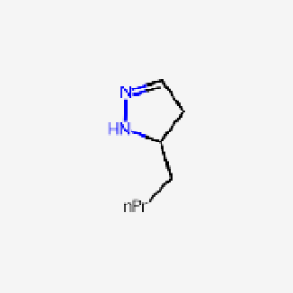 CCCCC1CC=NN1